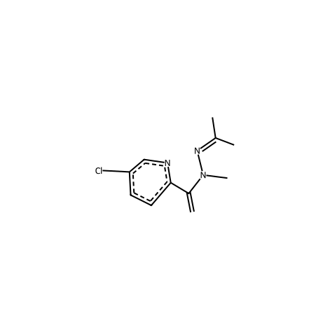 C=C(c1ccc(Cl)cn1)N(C)N=C(C)C